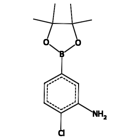 CC1(C)OB(c2ccc(Cl)c(N)c2)OC1(C)C